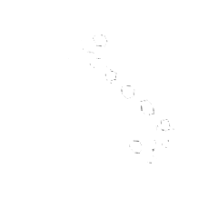 CCCC(=O)N[C@@H](C(=O)N(CCC)Cc1ncc(-c2cc3c4c(c2)OCc2cc(-c5cnc([C@@H]6CCCN6C(=O)[C@H](NC(=O)CCC)c6ccccc6)[nH]5)cc(c2-4)OC3)[nH]1)c1ccccc1